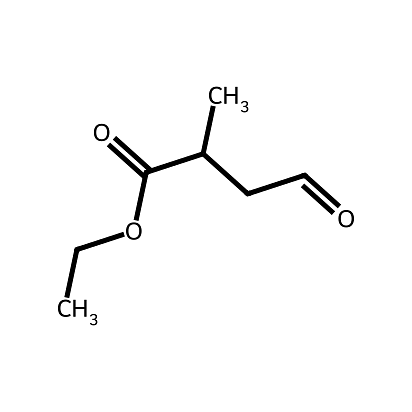 CCOC(=O)C(C)CC=O